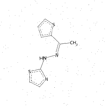 C/C(=N/Nc1nccs1)c1cccs1